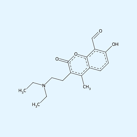 CCN(CC)CCc1c(C)c2ccc(O)c(C=O)c2oc1=O